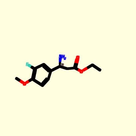 CCOC(=O)C[C@H](N)c1ccc(OC)c(F)c1